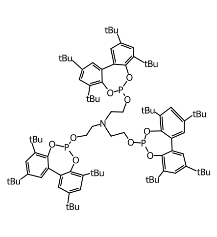 CC(C)(C)c1cc(C(C)(C)C)c2op(OCCN(CCOp3oc4c(C(C)(C)C)cc(C(C)(C)C)cc4c4cc(C(C)(C)C)cc(C(C)(C)C)c4o3)CCOp3oc4c(C(C)(C)C)cc(C(C)(C)C)cc4c4cc(C(C)(C)C)cc(C(C)(C)C)c4o3)oc3c(C(C)(C)C)cc(C(C)(C)C)cc3c2c1